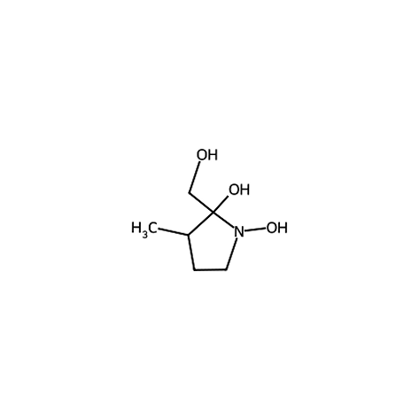 CC1CCN(O)C1(O)CO